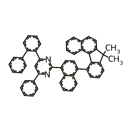 CC1(C)c2cccc(-c3ccc(-c4nc(-c5ccccc5)cc(-c5ccccc5-c5ccccc5)n4)c4ccccc34)c2-c2c1ccc1ccccc21